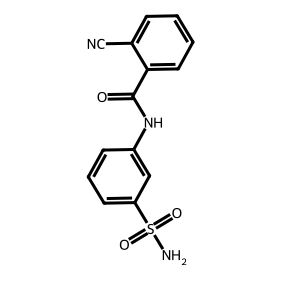 N#Cc1ccccc1C(=O)Nc1cccc(S(N)(=O)=O)c1